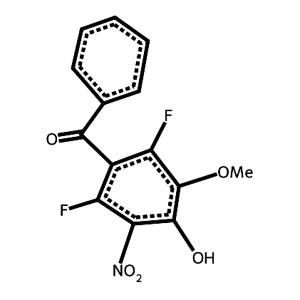 COc1c(O)c([N+](=O)[O-])c(F)c(C(=O)c2ccccc2)c1F